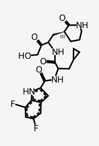 O=C(NC(CC1CC1)C(=O)NC(C[C@@H]1CCCNC1=O)C(=O)CO)c1cc2cc(F)cc(F)c2[nH]1